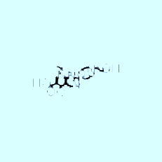 CCn1cc(C(=O)O)c(=O)c2cnc(N3CCN(CCO)CC3)nc21